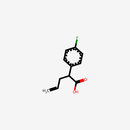 C=CCC(C(=O)O)c1ccc(F)cc1